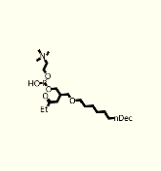 CCCCCCCCCCCCCCCCOCC(COP(O)OCC[N+](C)(C)C)CC(=O)CC